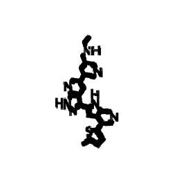 CCNCc1cncc(-c2cnc3[nH]nc(-c4cc5c(-c6ccc(C)s6)cncc5[nH]4)c3c2)c1